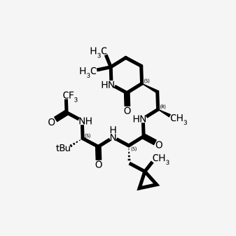 C[C@H](C[C@@H]1CCC(C)(C)NC1=O)NC(=O)[C@H](CC1(C)CC1)NC(=O)[C@@H](NC(=O)C(F)(F)F)C(C)(C)C